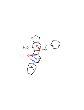 Cc1c(C(=O)NC2CC3CCC(C2)N3c2ccc(C(=O)NCc3ccccc3)cn2)ccc2c1OCC2